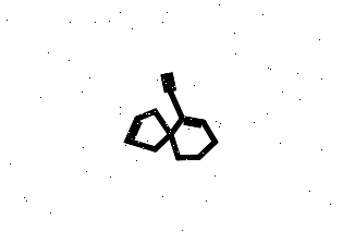 C#CC1=CCCCC12CC=CC2